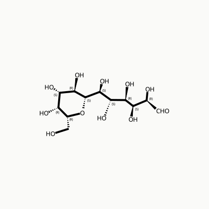 O=C[C@H](O)[C@@H](O)[C@H](O)[C@H](O)[C@H](O)[C@@H]1O[C@H](CO)[C@H](O)[C@H](O)[C@H]1O